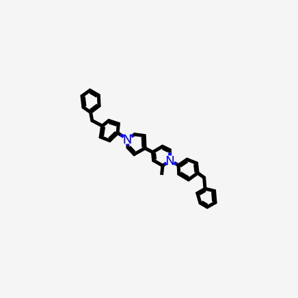 CC1C=C(C2=CCN(c3ccc(Cc4ccccc4)cc3)C=C2)C=CN1c1ccc(Cc2ccccc2)cc1